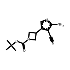 CC(C)(C)OC(=O)N1CC(c2csc(N)c2C#N)C1